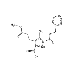 COC(=O)CCc1c(C(=O)O)[nH]c(C(=O)OCc2ccccc2)c1C